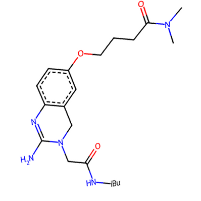 CCC(C)NC(=O)CN1Cc2cc(OCCCC(=O)N(C)C)ccc2N=C1N